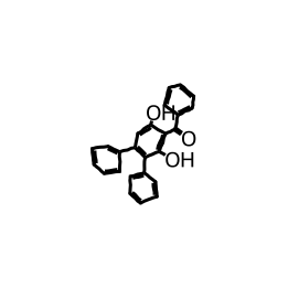 O=C(c1ccccc1)c1c(O)cc(-c2ccccc2)c(-c2ccccc2)c1O